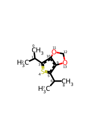 CC(C)c1sc(C(C)C)c2c1OCO2